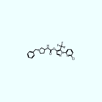 O=C(NC1CCN(Cc2ccccc2)C1)Oc1cnn(-c2cccc(Cl)n2)c1C(F)(F)F